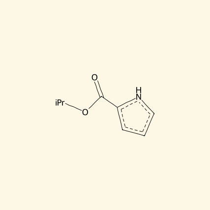 CC(C)OC(=O)c1ccc[nH]1